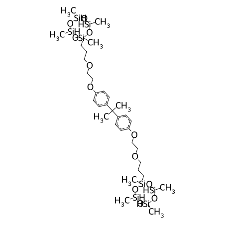 C[SiH]1O[SiH](C)O[Si](C)(CCCOCCOc2ccc(C(C)(C)c3ccc(OCCOCCC[Si]4(C)O[SiH](C)O[SiH](C)O[SiH](C)O4)cc3)cc2)O[SiH](C)O1